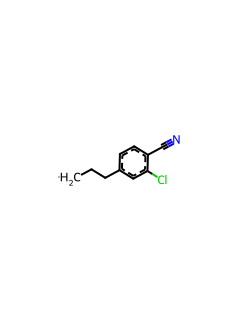 [CH2]CCc1ccc(C#N)c(Cl)c1